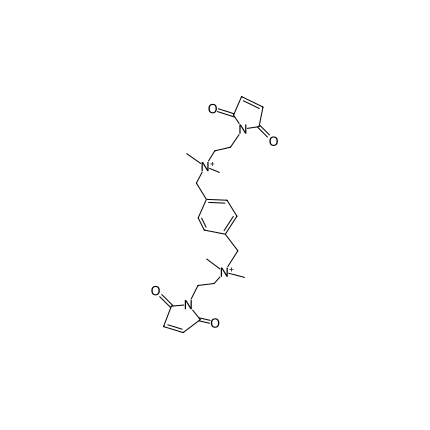 C[N+](C)(CCN1C(=O)C=CC1=O)Cc1ccc(C[N+](C)(C)CCN2C(=O)C=CC2=O)cc1